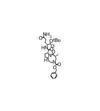 C[C@H]1CN(C(=O)OCc2ccccc2)CC[C@H]2CC[C@@H](C(=O)N[C@@H](CCC(N)=O)C(=O)OC(C)(C)C)N2C1=O